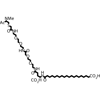 CN[C@@H](CSCC(=O)NCCOCCOCCNC(=O)COCCOCCNC(=O)CC[C@H](NC(=O)CCCCCCCCCCCCCCCCCCC(=O)O)C(=O)O)C(C)=O